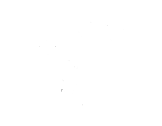 CC1=C2CN(Nc3cc(C)[nH]n3)C=C(Sc3ccc(NC(=O)C4CC4)cc3)[N+]2C=N1